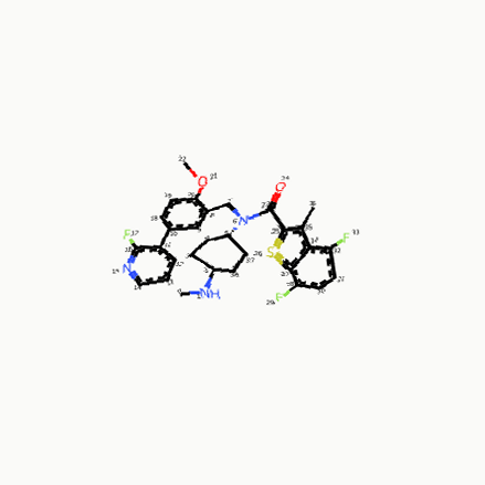 CN[C@H]1CC[C@H](N(Cc2cc(-c3cccnc3F)ccc2OC)C(=O)c2sc3c(F)ccc(F)c3c2C)CC1